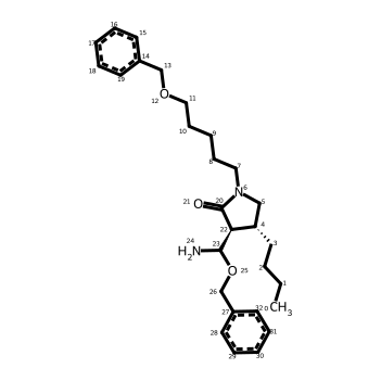 CCCC[C@H]1CN(CCCCCOCc2ccccc2)C(=O)[C@@H]1C(N)OCc1ccccc1